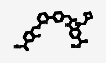 C=C(Cc1ccc(-c2cccc(OCc3ccc(C(=C)CCCC)cc3F)n2)cc1)Nc1ccc(C(=O)OC)cc1NCC1CCO1